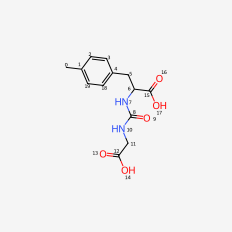 Cc1ccc(CC(NC(=O)NCC(=O)O)C(=O)O)cc1